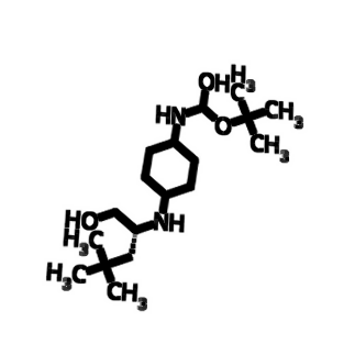 CC(C)(C)C[C@H](CO)NC1CCC(NC(O)OC(C)(C)C)CC1